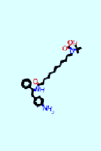 CC(C)(C)N(CCCCCCCCCCCC(=O)NC(Cc1ccc(N)cc1)c1ccccc1)C(=O)O